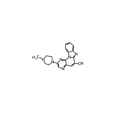 CN1CCN(c2cnc3cc(C#N)c4nc5ccccc5n4c3n2)CC1